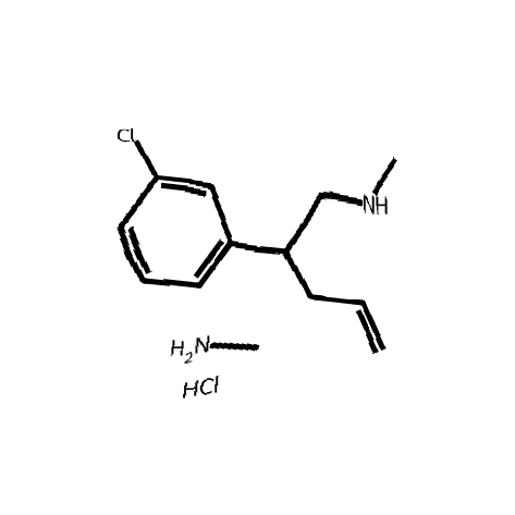 C=CCC(CNC)c1cccc(Cl)c1.CN.Cl